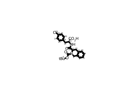 CC(C)(C)OC(=O)N1Cc2ccccc2CC1C(=O)N[C@H](Cc1ccc(Cl)cc1)C(=O)O